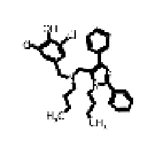 CCCCN(Cc1cc(Cl)c(O)c(Cl)c1)Cc1c(-c2ccccc2)nc(-c2ccccc2)n1CCCC